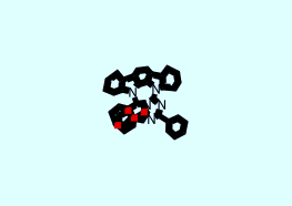 c1ccc(-c2nc(-c3ccccc3)nc(-n3c4ccccc4c4ccc5c6ccccc6n(-c6cccc7ccccc67)c5c43)n2)cc1